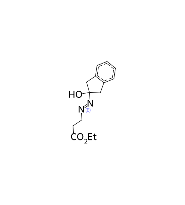 CCOC(=O)CC/N=N/C1(O)Cc2ccccc2C1